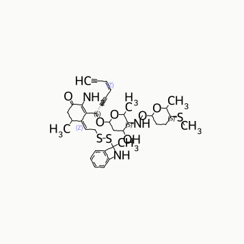 C#C/C=C\C#C[C@H](OC1CC(O)[C@H](NOC2CC[C@H](SC)C(C)O2)C(C)O1)C1=C(N)C(=O)CC(C)/C1=C/CSSC1(C)Nc2ccccc21